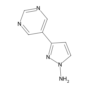 Nn1ccc(-c2cncnc2)n1